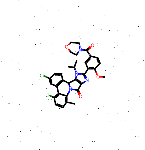 COc1ccc(C(=O)N2CCOCC2)cc1-c1nc2c(n1C(C)C)C1c3ccc(Cl)cc3-c3c(Cl)ccc(C)c3N1C2=O